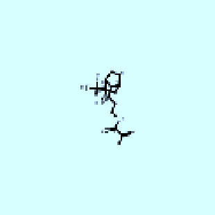 C=C(C)C(=O)OCCCC1C2CCC1C(O)(C(F)(F)F)C2